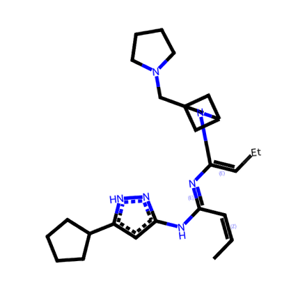 C\C=C/C(=N\C(=C\CC)N1CC2(CN3CCCC3)CC1C2)Nc1cc(C2CCCC2)[nH]n1